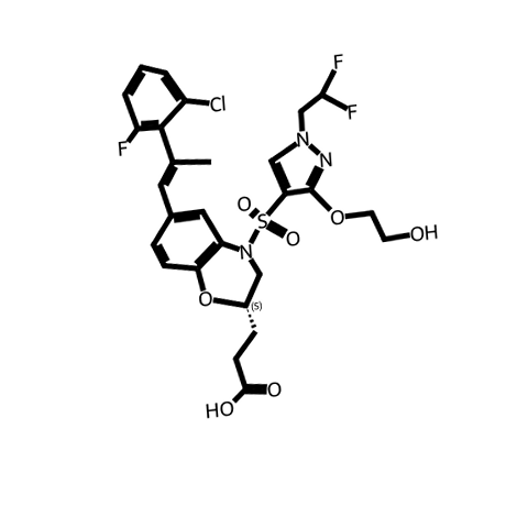 CC(=Cc1ccc2c(c1)N(S(=O)(=O)c1cn(CC(F)F)nc1OCCO)C[C@H](CCC(=O)O)O2)c1c(F)cccc1Cl